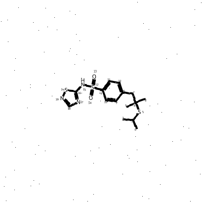 CC(C)SC(C)(C)Cc1ccc(S(=O)(=O)Nc2ncns2)cc1